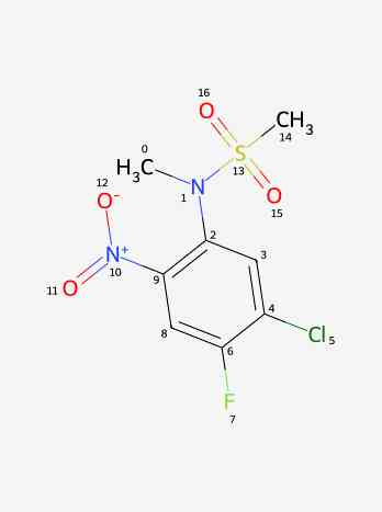 CN(c1cc(Cl)c(F)cc1[N+](=O)[O-])S(C)(=O)=O